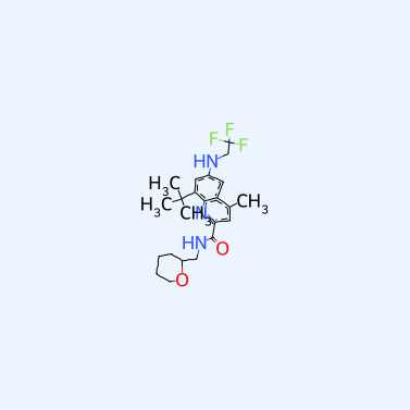 Cc1cc(C(=O)NCC2CCCCO2)nc2c(C(C)(C)C)cc(NCC(F)(F)F)cc12